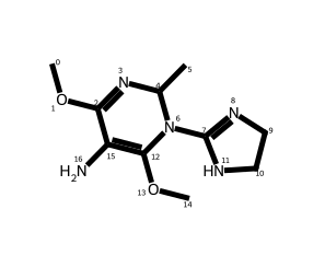 COC1=NC(C)N(C2=NCCN2)C(OC)=C1N